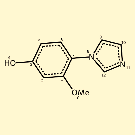 COc1cc(O)ccc1-n1ccnc1